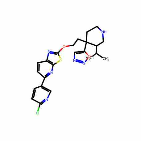 CC(C)C1CNCCC1(CCOc1nc2ccc(-c3ccc(Cl)nc3)nc2s1)c1cnno1